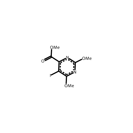 COC(=O)c1nc(OC)nc(OC)c1I